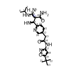 CC(C)N/C(N)=C(\C(=N)c1ccc(CC(=O)Nc2cc(C(C)(C)C)on2)cn1)C(N)=O